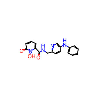 O=C(NCc1ccc(Nc2ccccc2)cn1)c1cccc(=O)n1O